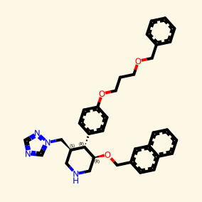 c1ccc(COCCCOc2ccc([C@H]3[C@H](Cn4cncn4)CNC[C@@H]3OCc3ccc4ccccc4c3)cc2)cc1